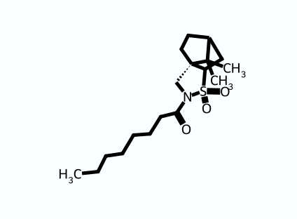 CCCCCCCC(=O)N1C[C@@]23CCC(CC2S1(=O)=O)C3(C)C